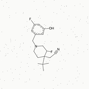 CC(C)(C)C1(CC#N)CCN(Cc2cc(O)cc(F)c2)CC1F